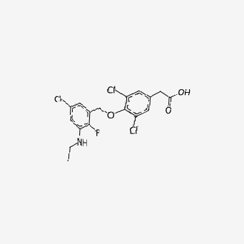 CCNc1cc(Cl)cc(COc2c(Cl)cc(CC(=O)O)cc2Cl)c1F